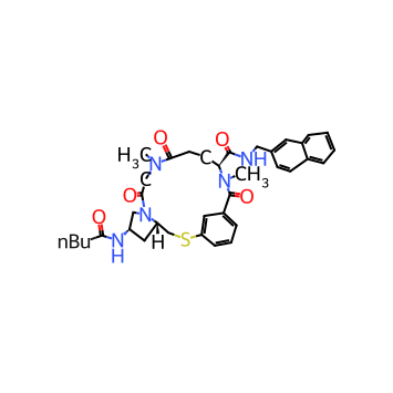 CCCCC(=O)N[C@@H]1C[C@H]2CSc3cccc(c3)C(=O)N(C)[C@H](C(=O)NCc3ccc4ccccc4c3)CCC(=O)N(C)CC(=O)N2C1